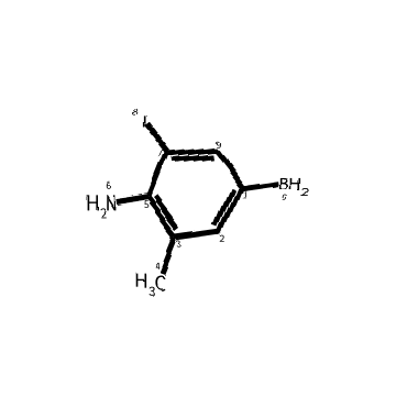 Bc1cc(C)c(N)c(I)c1